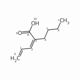 C=CC=C(CCCC)C(=O)O